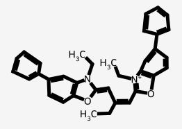 CCC(=Cc1oc2ccc(-c3ccccc3)cc2[n+]1CC)C=C1Oc2ccc(-c3ccccc3)cc2N1CC